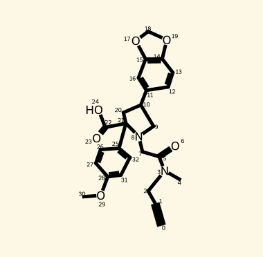 C#CCN(C)C(=O)CN1CC(c2ccc3c(c2)OCO3)CC1(C(=O)O)c1ccc(OC)cc1